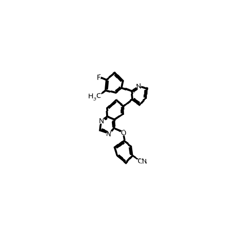 Cc1cc(-c2ncccc2-c2ccc3ncnc(Oc4cccc(C#N)c4)c3c2)ccc1F